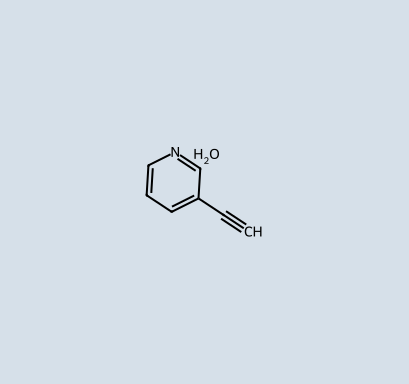 C#Cc1cccnc1.O